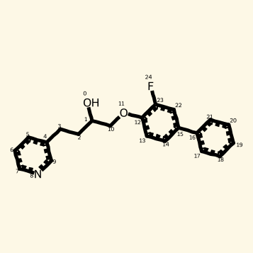 OC(CCc1cccnc1)COc1ccc(-c2ccccc2)cc1F